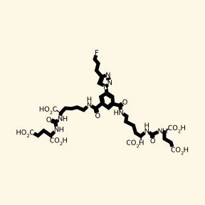 O=C(O)CC[C@H](NC(=O)N[C@@H](CCCCNC(=O)c1cc(C(=O)NCCCC[C@H](NC(=O)N[C@@H](CCC(=O)O)C(=O)O)C(=O)O)cc(-n2cc(CCCF)nn2)c1)C(=O)O)C(=O)O